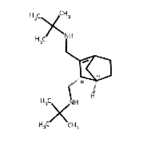 CC(C)(C)NCC1=C2CC[C@H](C2)[C@@H]1CNC(C)(C)C